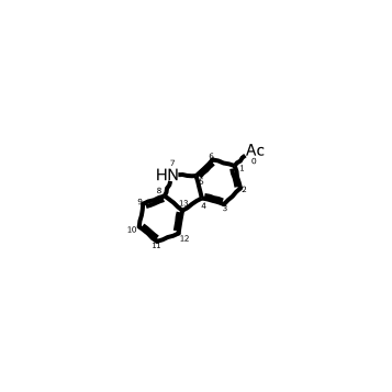 [CH2]C(=O)c1ccc2c(c1)[nH]c1ccccc12